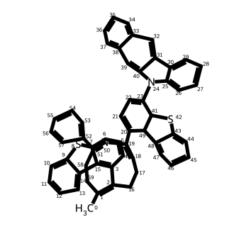 C/C1=C(/c2cccc3sc4ccccc4c23)CC/C=C(C2=CC=C(n3c4ccccc4c4cc5ccccc5cc43)C3Sc4ccccc4C23)\N=C(\c2ccccc2)CC1